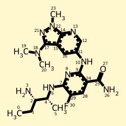 CC[C@H](N)[C@@H](C)Nc1nc(Nc2cnc3c(c2)c(N(C)C)nn3C)c(C(N)=O)cc1F